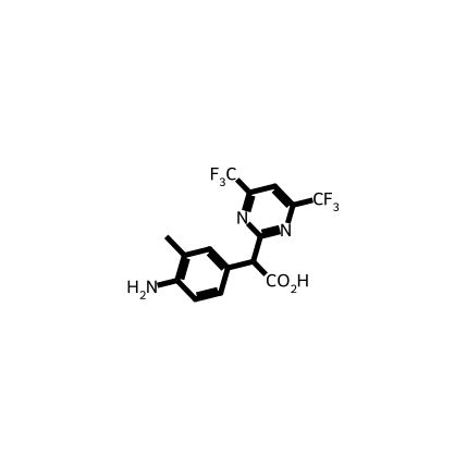 Cc1cc(C(C(=O)O)c2nc(C(F)(F)F)cc(C(F)(F)F)n2)ccc1N